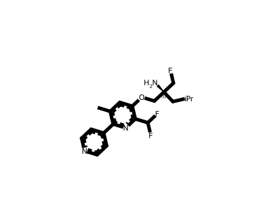 Cc1cc(OC[C@](N)(CF)CC(C)C)c(C(F)F)nc1-c1ccncc1